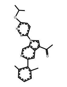 CC(=O)c1cn(-c2ccc(OC(C)C)nn2)c2cnc(-c3c(C)cccc3C)cc12